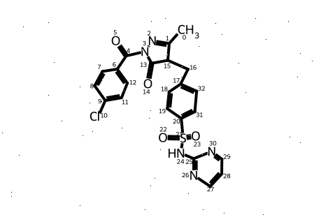 CC1=NN(C(=O)c2ccc(Cl)cc2)C(=O)C1Cc1ccc(S(=O)(=O)Nc2ncccn2)cc1